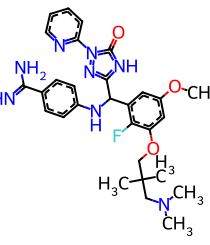 COc1cc(OCC(C)(C)CN(C)C)c(F)c(C(Nc2ccc(C(=N)N)cc2)c2nn(-c3ccccn3)c(=O)[nH]2)c1